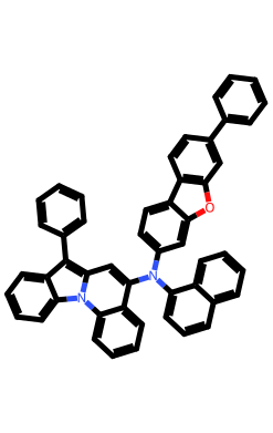 c1ccc(-c2ccc3c(c2)oc2cc(N(c4cccc5ccccc45)c4cc5c(-c6ccccc6)c6ccccc6n5c5ccccc45)ccc23)cc1